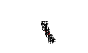 O=C(ON1C(=O)c2ccc(C(c3ccc4c(c3)C(=O)N(OC(=O)c3cc(C(F)(F)F)cc(C(F)(F)F)c3)C4=O)(C(F)(F)F)C(F)(F)F)cc2C1=O)c1cc(C(F)(F)F)cc(C(F)(F)F)c1